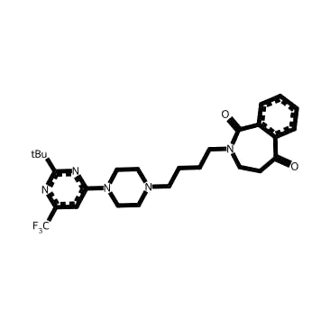 CC(C)(C)c1nc(N2CCN(CCCCN3CCC(=O)c4ccccc4C3=O)CC2)cc(C(F)(F)F)n1